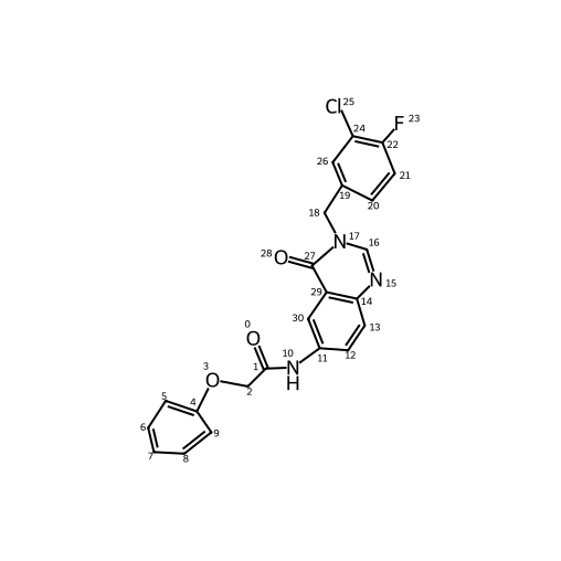 O=C(COc1ccccc1)Nc1ccc2ncn(Cc3ccc(F)c(Cl)c3)c(=O)c2c1